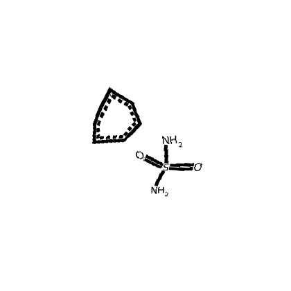 NS(N)(=O)=O.c1ccccc1